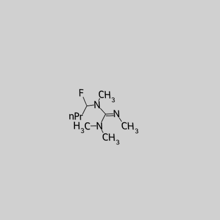 CCCC(F)N(C)C(=NC)N(C)C